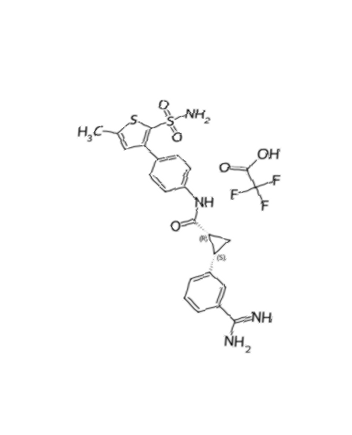 Cc1cc(-c2ccc(NC(=O)[C@@H]3C[C@@H]3c3cccc(C(=N)N)c3)cc2)c(S(N)(=O)=O)s1.O=C(O)C(F)(F)F